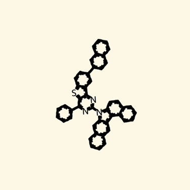 c1ccc(-c2nc(-n3c4cc5ccccc5cc4c4c5ccccc5ccc43)nc3c2sc2ccc(-c4ccc5ccccc5c4)cc23)cc1